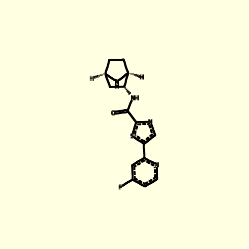 O=C(N[C@@H]1C[C@H]2CC[C@@H]1N2)c1ncc(-c2cc(F)ccn2)s1